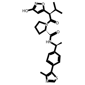 Cc1ncsc1-c1ccc([C@H](C)NC(=O)[C@@H]2CCCN2C(=O)[C@@H](c2cc(O)no2)C(C)C)cc1